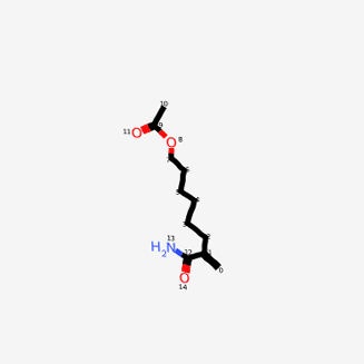 C=C(CCCCCCOC(C)=O)C(N)=O